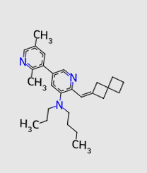 CCCCN(CCC)c1cc(-c2cc(C)cnc2C)cnc1C=C1CC2(CCC2)C1